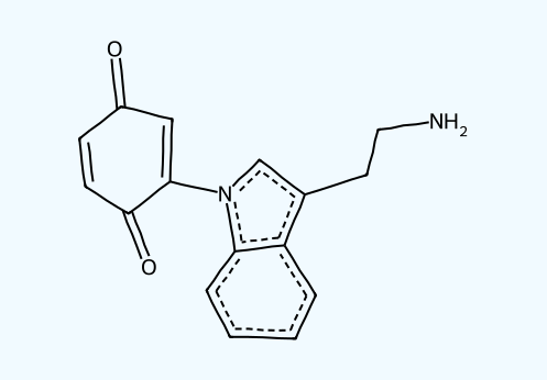 NCCc1cn(C2=CC(=O)C=CC2=O)c2ccccc12